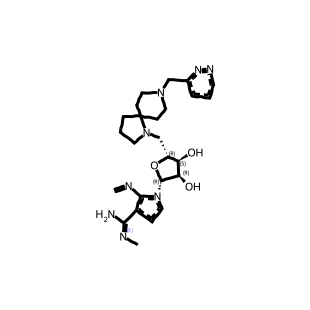 C=Nc1c(/C(N)=N\C)ccn1[C@@H]1O[C@H](CN2CCCC23CCN(Cc2cccnn2)CC3)[C@@H](O)[C@H]1O